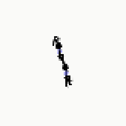 FC(F)(F)c1ccc(/C=C/c2ccc(C#Cc3ccc(/C=C/c4ccc(C(F)(F)F)cc4)cc3)cc2)cc1